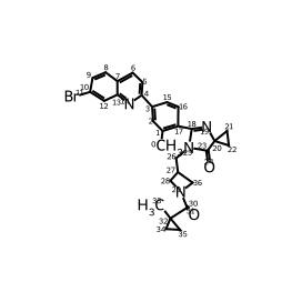 Cc1cc(-c2ccc3ccc(Br)cc3n2)ccc1C1=NC2(CC2)C(=O)N1CC1CN(C(=O)C2(C)CC2)C1